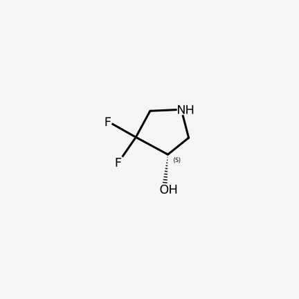 O[C@H]1CNCC1(F)F